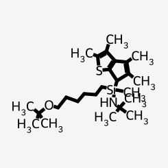 CC1=C(C)C([Si](C)(CCCCCCOC(C)(C)C)NC(C)(C)C)c2sc(C)c(C)c21